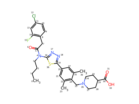 CCCCN(C(=O)Cc1ccc(Cl)cc1F)c1nnc(-c2cc(C)c(CN3CCC(C(=O)O)CC3)c(C)c2)s1